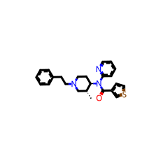 C[C@@H]1CN(CCc2ccccc2)CC[C@H]1N(C(=O)c1ccsc1)c1ccccn1